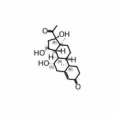 CC(=O)[C@@]1(O)C[C@@H](O)[C@H]2[C@@H]3[C@@H](O)CC4=CC(=O)CC[C@]4(C)[C@H]3CC[C@@]21C